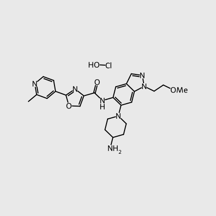 COCCn1ncc2cc(NC(=O)c3coc(-c4ccnc(C)c4)n3)c(N3CCC(N)CC3)cc21.OCl